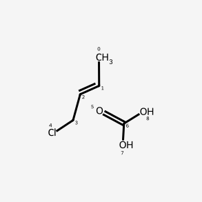 CC=CCCl.O=C(O)O